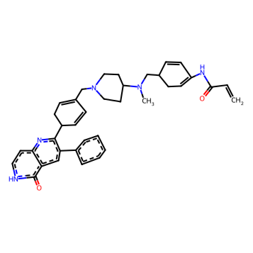 C=CC(=O)NC1=CCC(CN(C)C2CCN(CC3=CCC(c4nc5cc[nH]c(=O)c5cc4-c4ccccc4)C=C3)CC2)C=C1